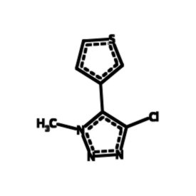 Cn1nnc(Cl)c1-c1ccsc1